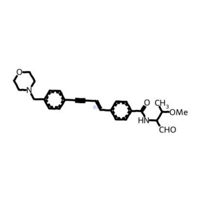 COC(C)C(C=O)NC(=O)c1ccc(/C=C/C#Cc2ccc(CN3CCOCC3)cc2)cc1